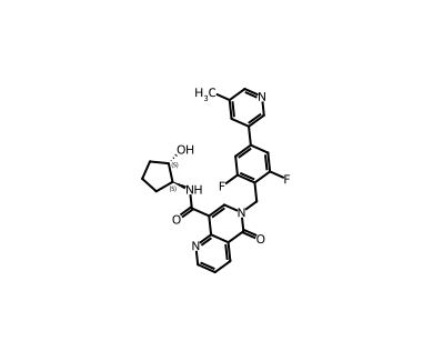 Cc1cncc(-c2cc(F)c(Cn3cc(C(=O)N[C@H]4CCC[C@@H]4O)c4ncccc4c3=O)c(F)c2)c1